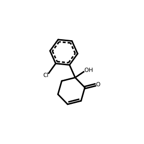 O=C1C=CCCC1(O)c1ccccc1Cl